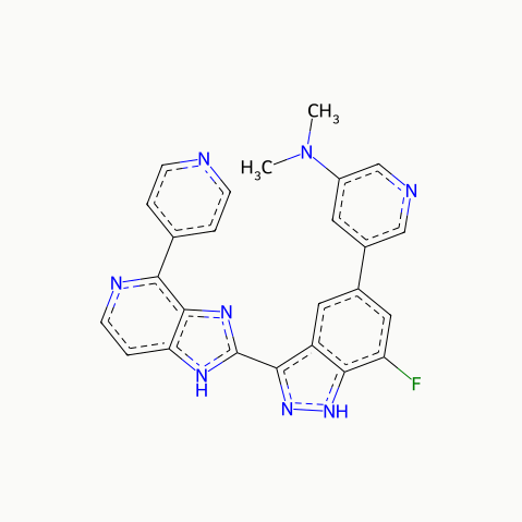 CN(C)c1cncc(-c2cc(F)c3[nH]nc(-c4nc5c(-c6ccncc6)nccc5[nH]4)c3c2)c1